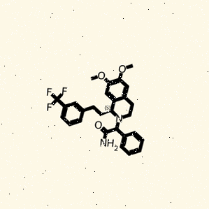 COc1cc2c(cc1OC)[C@H](CCc1cccc(C(F)(F)F)c1)N(C(C(N)=O)c1ccccc1)CC2